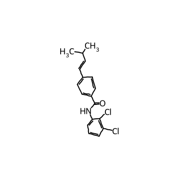 CC(C)/C=C/c1ccc(C(=O)Nc2cccc(Cl)c2Cl)cc1